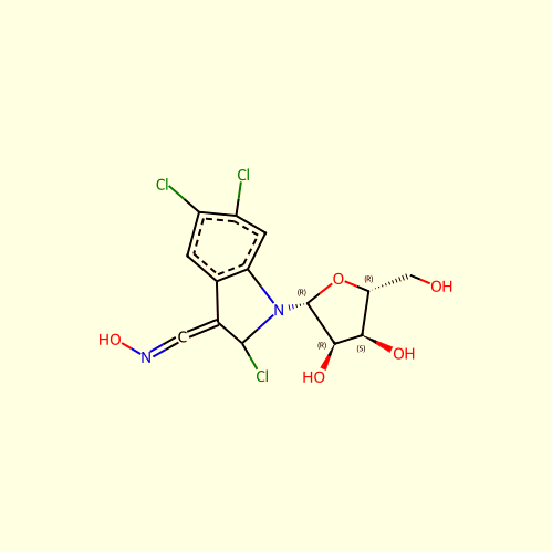 OC[C@H]1O[C@@H](N2c3cc(Cl)c(Cl)cc3C(=C=NO)C2Cl)[C@H](O)[C@@H]1O